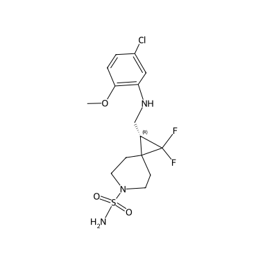 COc1ccc(Cl)cc1NC[C@@H]1C(F)(F)C12CCN(S(N)(=O)=O)CC2